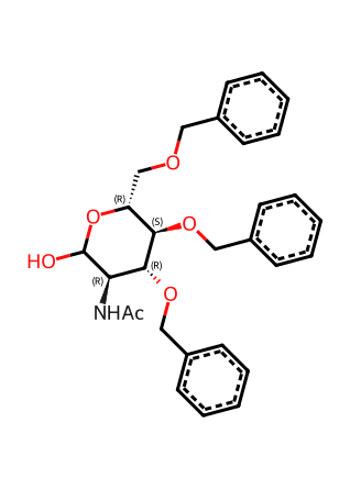 CC(=O)N[C@H]1C(O)O[C@H](COCc2ccccc2)[C@@H](OCc2ccccc2)[C@@H]1OCc1ccccc1